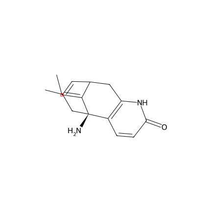 C/C=C1\C2C=C(C)C[C@@]1(N)c1ccc(=O)[nH]c1C2